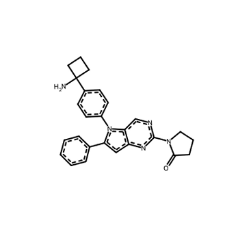 NC1(c2ccc(-n3c(-c4ccccc4)cc4nc(N5CCCC5=O)ncc43)cc2)CCC1